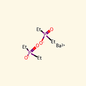 CCP(=O)([O-])CC.CCP(=O)([O-])CC.[Ba+2]